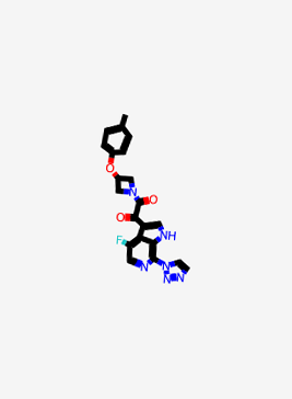 Cc1ccc(OC2CN(C(=O)C(=O)c3c[nH]c4c(-n5ccnn5)ncc(F)c34)C2)cc1